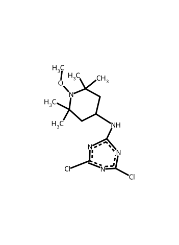 CON1C(C)(C)CC(Nc2nc(Cl)nc(Cl)n2)CC1(C)C